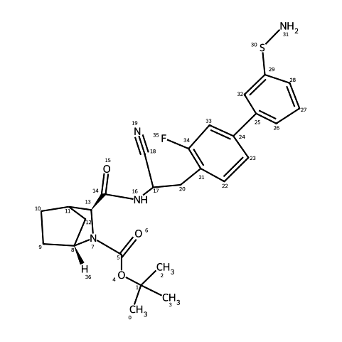 CC(C)(C)OC(=O)N1[C@@H]2CCC(C2)[C@H]1C(=O)NC(C#N)Cc1ccc(-c2cccc(SN)c2)cc1F